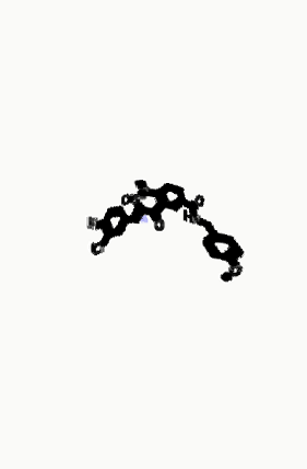 COc1ccc(CNC(=O)c2ccc3c(c2)C(=O)/C(=C/c2ccc(F)c(Cl)c2)[S+]([O-])N3C)cc1